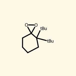 CC(C)(C)C1(C(C)(C)C)CCCCC12OO2